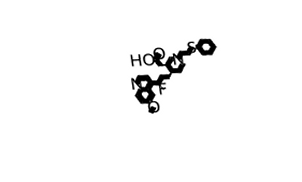 COc1ccc2nccc([C@@H](F)CC[C@@H]3CCN(CCSC4CCCCC4)C[C@@H]3CC(=O)O)c2c1